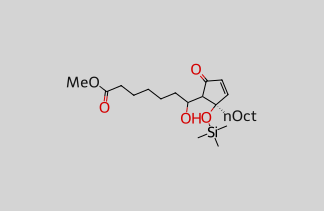 CCCCCCCC[C@@]1(O[Si](C)(C)C)C=CC(=O)C1C(O)CCCCCC(=O)OC